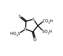 O=C(O)C1(S(=O)(=O)O)SC(=S)N(S(=O)(=O)O)C1=O